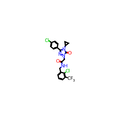 O=C(Cn1nc(-c2ccc(Cl)cc2)n(C2CC2)c1=O)NCc1cccc(C(F)(F)F)c1Cl